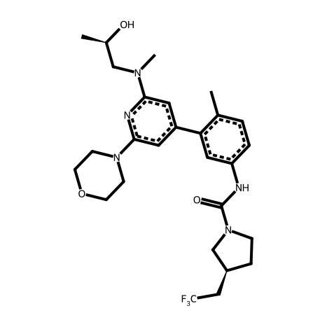 Cc1ccc(NC(=O)N2CC[C@@H](CC(F)(F)F)C2)cc1-c1cc(N(C)C[C@@H](C)O)nc(N2CCOCC2)c1